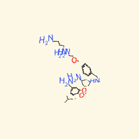 CNCc1ccccc1.COCCN.NC1CCCCC1.NCCCCN.NCc1ccc2c(c1)OCO2.[CH2]C(C)C